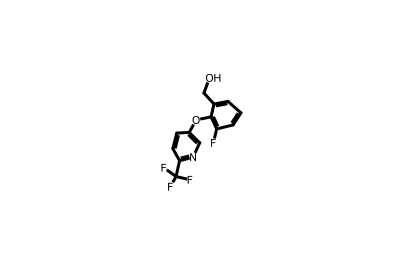 OCc1cccc(F)c1Oc1ccc(C(F)(F)F)nc1